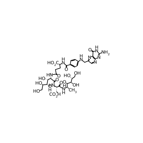 C[C@@H](NC(=O)[C@H](CC(=O)O)NC(=O)[C@@H](NC(=O)CC[C@H](NC(=O)c1ccc(NCc2cnc3nc(N)[nH]c(=O)c3n2)cc1)C(=O)O)[C@@H](O)[C@H](O)[C@H](O)CO)[C@@H](O)[C@H](O)[C@H](O)CO